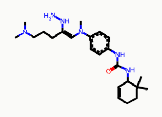 CN(C)CCC/C(=C/N(C)c1ccc(NC(=O)NC2C=CCCC2(C)C)cc1)NN